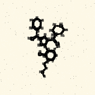 COCCn1cccc(-c2nn(C(=O)c3ccccc3)cc2C(=O)N2CCOCC2)c1=O